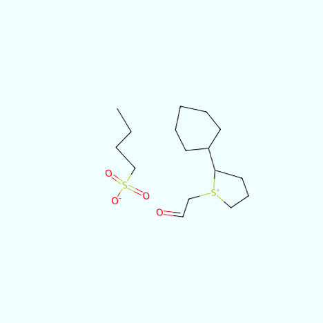 CCCCS(=O)(=O)[O-].O=CC[S+]1CCCC1C1CCCCC1